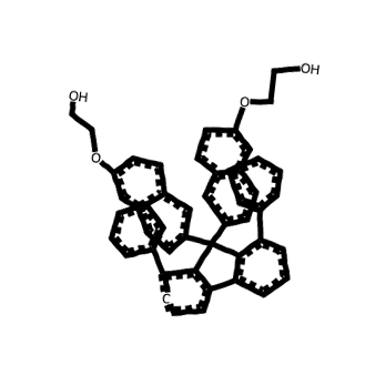 OCCOc1ccc2cc(C3(c4ccc5cc(OCCO)ccc5c4)c4c(-c5ccccc5)cccc4-c4cccc(-c5ccccc5)c43)ccc2c1